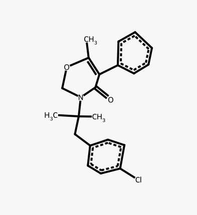 CC1=C(c2ccccc2)C(=O)N(C(C)(C)Cc2ccc(Cl)cc2)CO1